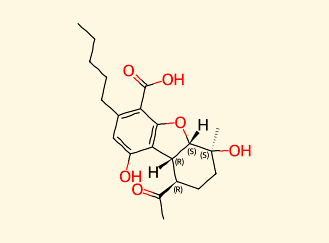 CCCCCc1cc(O)c2c(c1C(=O)O)O[C@H]1[C@@H]2[C@H](C(C)=O)CC[C@]1(C)O